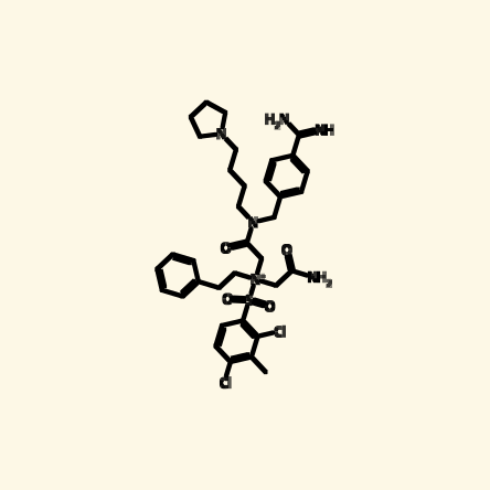 Cc1c(Cl)ccc(S(=O)(=O)[N+](CCc2ccccc2)(CC(N)=O)CC(=O)N(CCCCN2CCCC2)Cc2ccc(C(=N)N)cc2)c1Cl